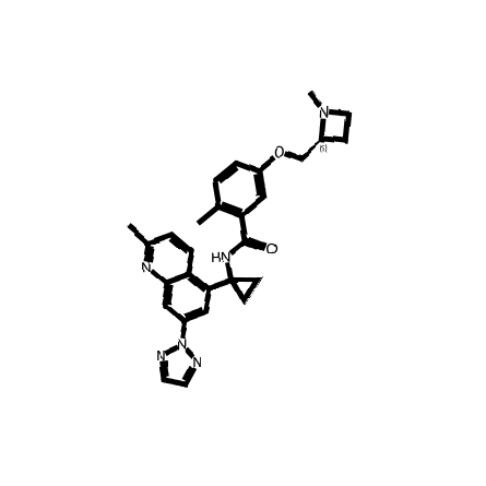 Cc1ccc2c(C3(NC(=O)c4cc(OC[C@@H]5CCN5C)ccc4C)CC3)cc(-n3nccn3)cc2n1